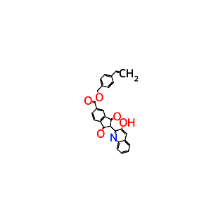 C=Cc1ccc(COC(=O)c2ccc3c(c2)C(=O)C(c2nc4ccccc4cc2O)C3=O)cc1